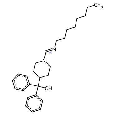 CCCCCCCC/N=C/N1CCC(C(O)(c2ccccc2)c2ccccc2)CC1